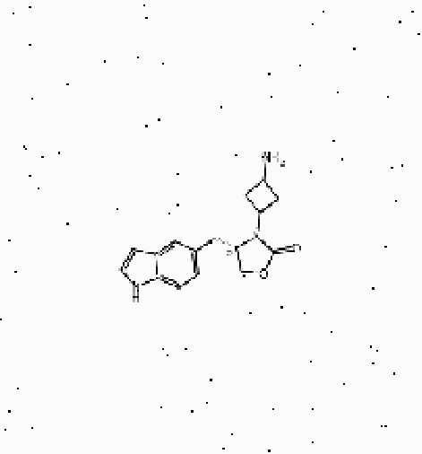 NC1CC(N2C(=O)OC[C@@H]2Cc2ccc3[nH]ccc3c2)C1